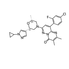 Cc1nc2c(-c3ccc(Cl)cc3F)cc(N3C[C@@H](C)O[C@@H](c4cnn(C5CC5)c4)C3)nn2c(=O)c1C